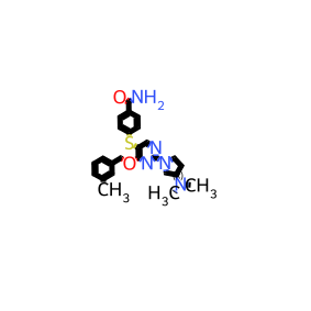 Cc1cccc(COc2nc(N3CC[C@@H](N(C)C)C3)ncc2Sc2ccc(C(N)=O)cc2)c1